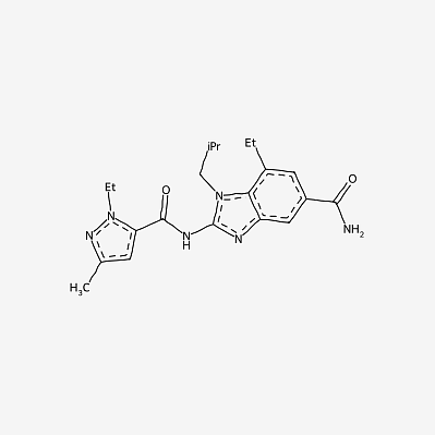 CCc1cc(C(N)=O)cc2nc(NC(=O)c3cc(C)nn3CC)n(CC(C)C)c12